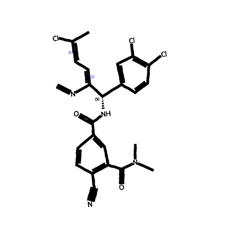 C=N/C(=C\C=C(/C)Cl)[C@@H](NC(=O)c1ccc(C#N)c(C(=O)N(C)C)c1)c1ccc(Cl)c(Cl)c1